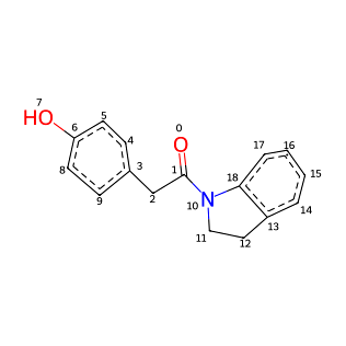 O=C(Cc1ccc(O)cc1)N1CCc2cc[c]cc21